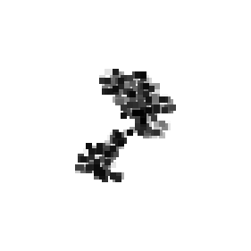 CC(=O)OCC1=C[C@H](N(C(C)=O)[C@@H]2C(C)O[C@H](O[C@@H]3C(COC(C)=O)O[C@H](O[C@@H]4C(COC(C)=O)O[C@@H](OCCCc5cn(C[C@H]6O[C@@](CCl)(O[C@H]7O[C@H](COC(C)=O)[C@H](Cl)[C@H](OC(C)=O)[C@H]7OC(C)=O)[C@@H](OC(C)=O)[C@@H]6OC(C)=O)nn5)[C@@H](OC(C)=O)C4OC(C)=O)C(OC(C)=O)C3OC(C)=O)C(OC(C)=O)C2OC(C)=O)[C@H](OC(C)=O)[C@@H](OC(C)=O)[C@@H]1OC(C)=O